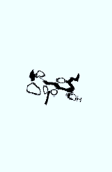 CCCC1CC(O)C(OC(C)=O)C(COC(C)=O)O1